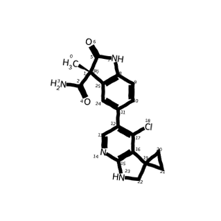 C[C@@]1(C(N)=O)C(=O)Nc2ccc(-c3cnc4c(c3Cl)C3(CC3)CN4)cc21